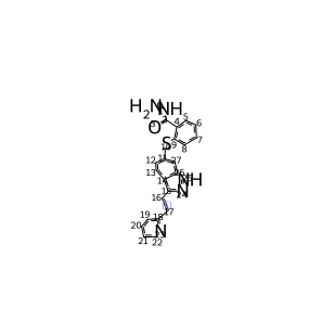 NNC(=O)c1ccccc1Sc1ccc2c(/C=C/c3ccccn3)n[nH]c2c1